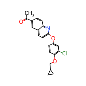 CC(=O)c1ccc2nc(Oc3ccc(OCC4CC4)c(Cl)c3)ccc2c1